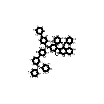 c1ccc(-c2ccc(N(c3ccc(-c4cccc(N(c5ccccc5)c5ccccc5)c4)cc3)c3ccc4c(c3)oc3cc5ccccc5c(N(c5ccccc5)c5ccccc5)c34)cc2)cc1